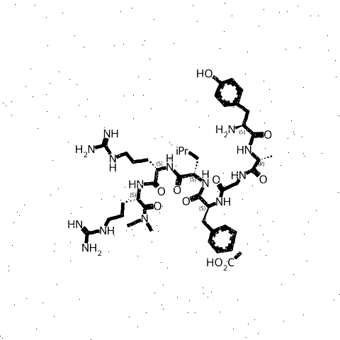 CC(=O)O.CC(C)C[C@H](NC(=O)[C@H](Cc1ccccc1)NC(=O)CNC(=O)[C@@H](C)NC(=O)[C@@H](N)Cc1ccc(O)cc1)C(=O)N[C@@H](CCCNC(=N)N)C(=O)N[C@@H](CCCNC(=N)N)C(=O)N(C)C